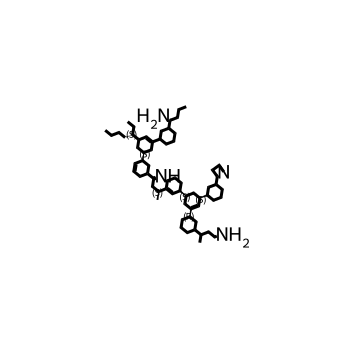 CCCC[C@H](CC)C1C=C(C2CCCC(C(N)CCC)C2)C[C@@H](C2C=CCC(C(=N)C[C@H](C)C3=CC([C@@H]4CC([C@@H]5CCCC(C(C)CCN)C5)=C[C@H](C5CCCC(C6=NCC6)C5)C4)CCC3)C2)C1